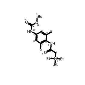 CC[N+](CC)(CC)CC(=O)Nc1c(C)cc(NC(=O)OC(C)(C)C)cc1C